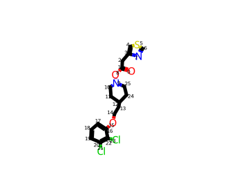 O=C(Cc1cscn1)ON1CCC(CCOc2cccc(Cl)c2Cl)CC1